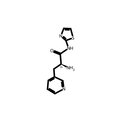 N[C@@H](Cc1cccnc1)C(=O)Nc1nccs1